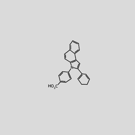 O=C(O)c1ccc(-n2c(C3=CCCC=C3)cc3c4ccccc4ccc32)cc1